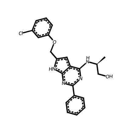 C[C@@H](CO)Nc1nc(-c2ccccc2)nc2[nH]c(COc3cccc(Cl)c3)cc12